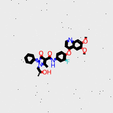 COc1cc2nccc(Oc3ccc(NC(=O)c4c(C)n(C[C@H](C)O)n(-c5ccccc5)c4=O)cc3F)c2cc1OC